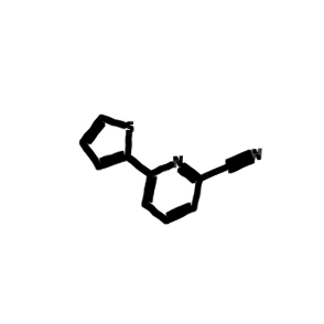 N#Cc1cccc(-c2cccs2)n1